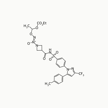 CCOC(=O)OC(C)ON=[N+]([O-])N1CC(C(=O)NS(=O)(=O)c2ccc(-n3nc(C(F)(F)F)cc3-c3ccc(C)cc3)cc2)C1